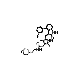 Cc1[nH]c(/C=C2\C(=O)Nc3cccc(-c4cccc(F)c4)c32)c(C)c1CC(=O)NCCN1CCOCC1